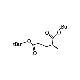 C[C@@H](CCC(=O)OC(C)(C)C)C(=O)OC(C)(C)C